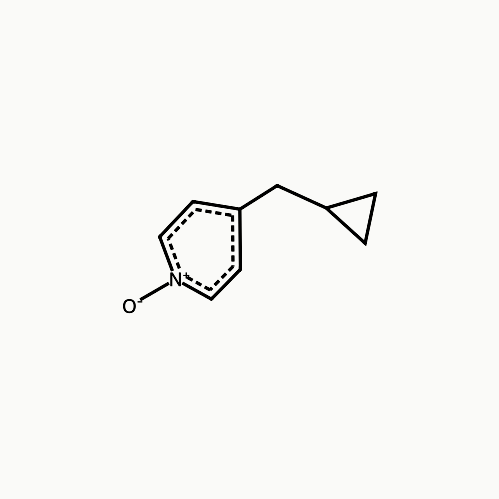 [O-][n+]1ccc(CC2CC2)cc1